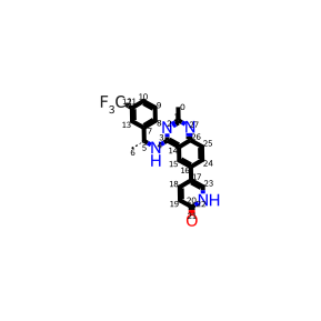 Cc1nc(N[C@H](C)c2cccc(C(F)(F)F)c2)c2cc(-c3ccc(=O)[nH]c3)ccc2n1